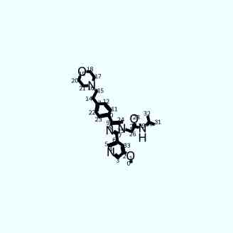 COc1cncc(-c2nc(-c3ccc(CCN4CCOCC4)cc3)cn2CC(=O)NC(C)C)c1